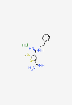 CSc1sc(C(=N)N)cc1C(=N)NCCc1ccccc1.Cl